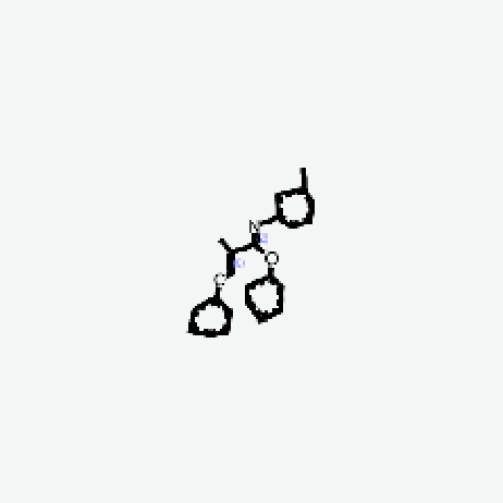 CC(=C\Oc1ccccc1)/C(=N/c1cccc(C)c1)Oc1ccccc1